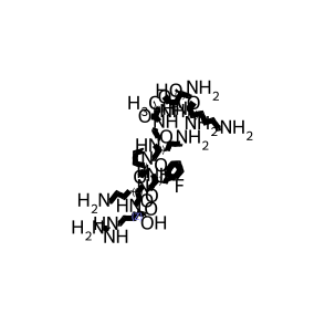 C[C@H](NC(=O)[C@@H](NC(=O)[C@@H](N)CCCCN)[C@@H](O)CN)C(=O)NCC(=O)N[C@H](CCCN)C(=O)N1CCC[C@H]1C(=O)N[C@@H](Cc1ccccc1F)C(=O)N[C@@H](CCCCN)C(=O)N/C(=C\CCNC(=N)N)C(=O)O